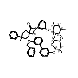 CC[C@H]1O[C@@H](Oc2cccc(-c3ccc([C@H]4N(c5ccccc5)C(=O)C45CCC(C)(c4ccccc4)CC5)c(OCc4ccccc4)c3)c2)[C@H](C)[C@@H](C)C1O[C@@H]1O[C@H](CC)[C@@H](C)[C@H](C)[C@H]1C